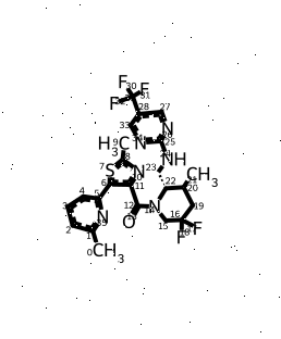 Cc1cccc(-c2sc(C)nc2C(=O)N2CC(F)(F)CC(C)[C@H]2CNc2ncc(C(F)(F)F)cn2)n1